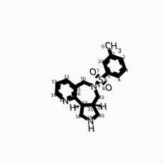 Cc1cccc(S(=O)(=O)N2Cc3cccnc3[C@@H]3CNC[C@H]3C2)c1